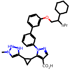 CCCC(COc1cccc(-c2cccc(-n3ncc(C(=O)O)c3C3CC3C3=CN(C)NN3)c2)c1)C1CCCCC1